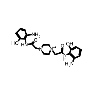 C[N+]1(CC(=O)Nc2c(N)cccc2O)CCN(CC(=O)Nc2c(N)cccc2O)CC1